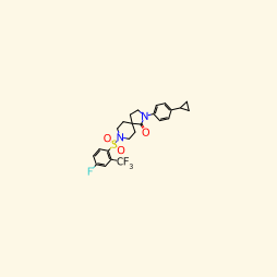 O=C1N(c2ccc(C3CC3)cc2)CCC12CCN(S(=O)(=O)c1ccc(F)cc1C(F)(F)F)CC2